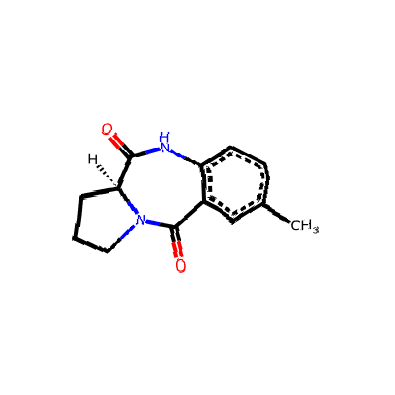 Cc1ccc2c(c1)C(=O)N1CCC[C@H]1C(=O)N2